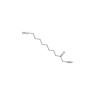 CCCCCCCCCCC(=O)CCCCCCCCC(=O)OCC